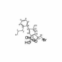 CCCc1ccccc1-c1cc(S(=O)(=O)O)c(C(=O)CBr)cc1C